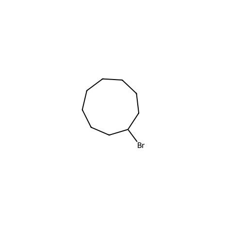 BrC1CCCCCCCC1